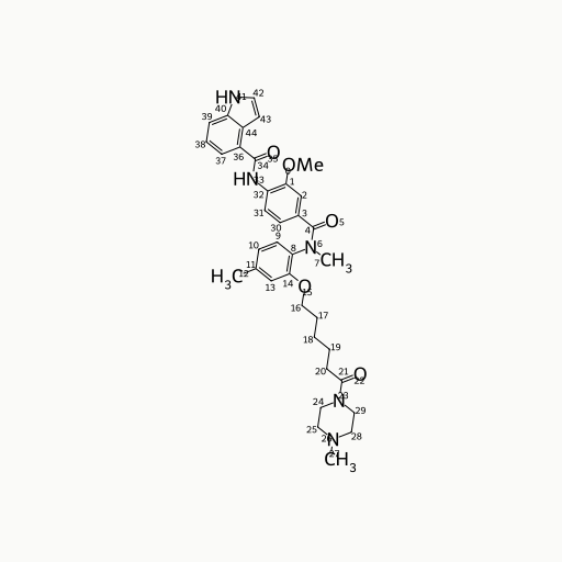 COc1cc(C(=O)N(C)c2ccc(C)cc2OCCCCCC(=O)N2CCN(C)CC2)ccc1NC(=O)c1cccc2[nH]ccc12